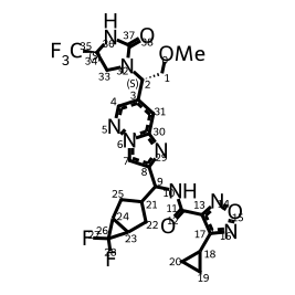 COC[C@H](c1cnn2cc(C(NC(=O)c3nonc3C3CC3)C3CC4C(C3)C4(F)F)nc2c1)N1C[C@@H](C(F)(F)F)NC1=O